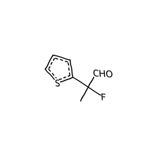 CC(F)(C=O)c1cccs1